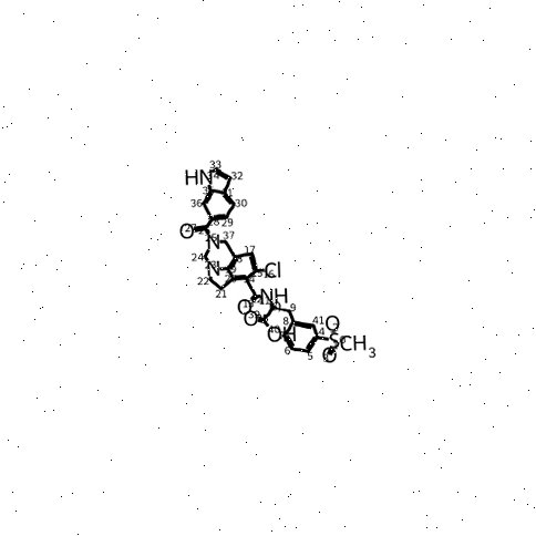 CS(=O)(=O)c1cccc(C[C@H](NC(=O)c2c(Cl)cc3c4c2CCN4CN(C(=O)c2ccc4cc[nH]c4c2)C3)C(=O)O)c1